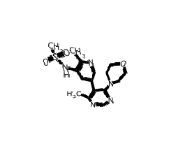 Cc1ncc(-c2c(C)ncnc2N2CCOCC2)cc1NS(C)(=O)=O